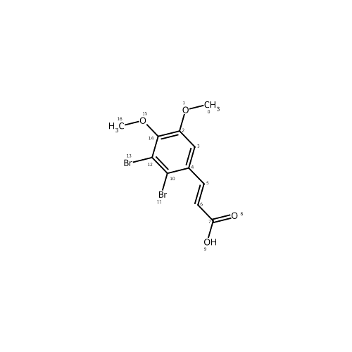 COc1cc(/C=C/C(=O)O)c(Br)c(Br)c1OC